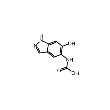 O=C(O)Nc1cc2cn[nH]c2cc1O